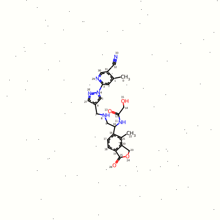 Cc1cc(-n2cc(CNCC(NC(=O)CO)c3ccc4c(c3C)COC4=O)cn2)ncc1C#N